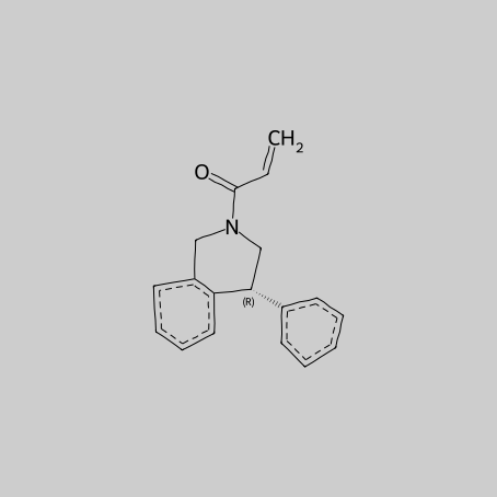 C=CC(=O)N1Cc2ccccc2[C@@H](c2ccccc2)C1